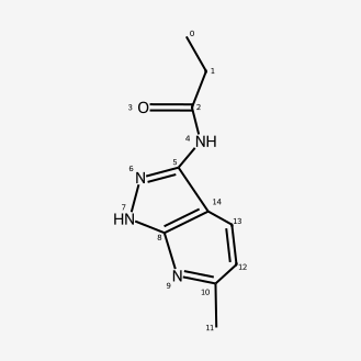 CCC(=O)Nc1n[nH]c2nc(C)ccc12